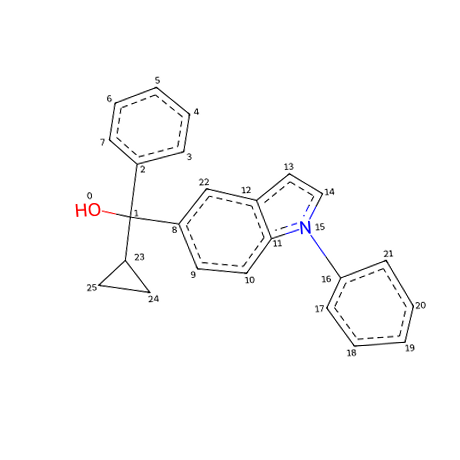 OC(c1ccccc1)(c1ccc2c(ccn2-c2ccccc2)c1)C1CC1